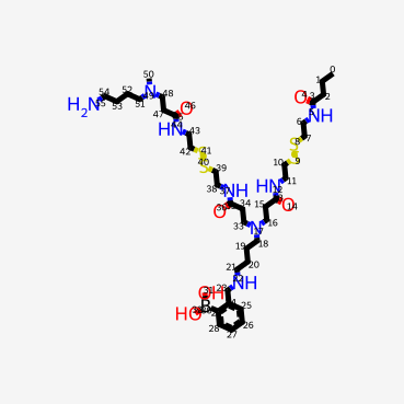 CCCC(=O)NCCSSCCNC(=O)CCN(CCCCNCc1ccccc1B(O)O)CCC(=O)NCCSSCCNC(=O)CCN(C)CCCCN